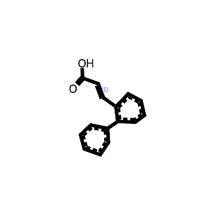 O=C(O)/C=C/c1ccccc1-c1ccccc1